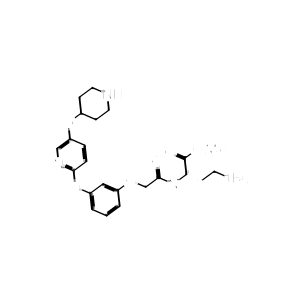 COC(=O)[C@H](CCC(C)(C)C)NC(=O)COc1cccc(Oc2ccc(OC3CCNCC3)cn2)c1